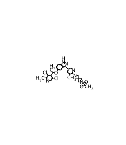 Cc1cc(-c2n[nH]c3ccc(OC(C)c4c(Cl)cnc(C)c4Cl)cc23)cnc1N1CC2(C1)CN(S(C)(=O)=O)C2